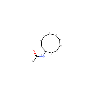 CC(=O)NC1CCCCCCCCC1